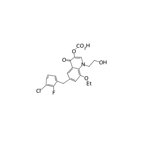 CCOc1cc(Cc2cccc(Cl)c2F)cc2c(=O)c(OC(=O)O)cn(CCO)c12